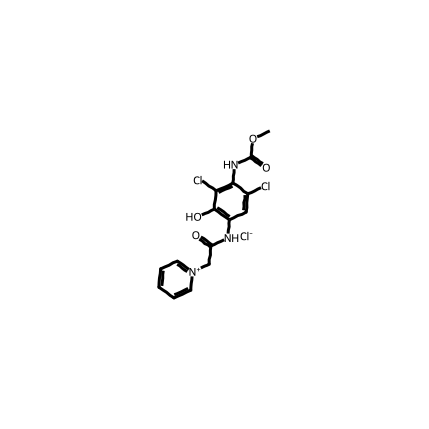 COC(=O)Nc1c(Cl)cc(NC(=O)C[n+]2ccccc2)c(O)c1Cl.[Cl-]